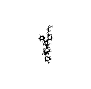 CN1CCN(C(=O)C2(C)COC(c3nc(-c4ccc(F)cc4)c(-c4ccnc(OCCO)n4)[nH]3)OC2)CC1